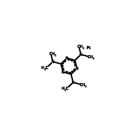 CN(C)c1nc(N(C)C)nc(N(C)C)n1.[Pt]